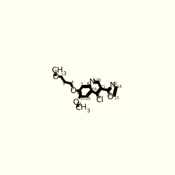 COCCCOc1cc2ncc(-c3ncco3)c(Cl)c2cc1OC